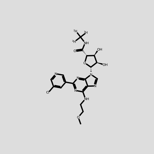 [2H]C([2H])([2H])NC(=O)[C@H]1O[C@@H](n2cnc3c(NCCOC)nc(-c4cncc(Cl)c4)nc32)[C@H](O)[C@@H]1O